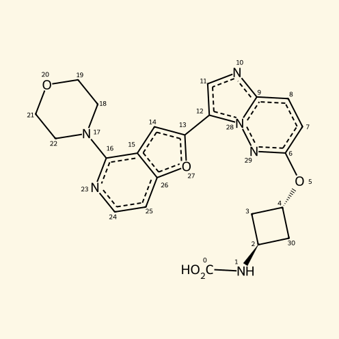 O=C(O)N[C@H]1C[C@H](Oc2ccc3ncc(-c4cc5c(N6CCOCC6)nccc5o4)n3n2)C1